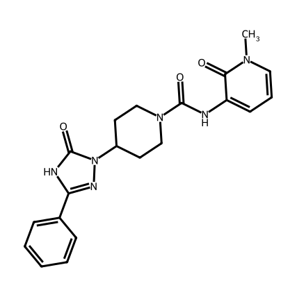 Cn1cccc(NC(=O)N2CCC(n3nc(-c4ccccc4)[nH]c3=O)CC2)c1=O